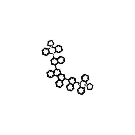 c1ccc2c(c1)N(c1ccc(-c3cc4cc(-c5ccc(N6c7ccccc7[Si]7(CCCC7)c7ccccc76)c6ccccc56)c5ccccc5c4c4ccccc34)c3ccccc13)c1ccccc1[Si]21CCCC1